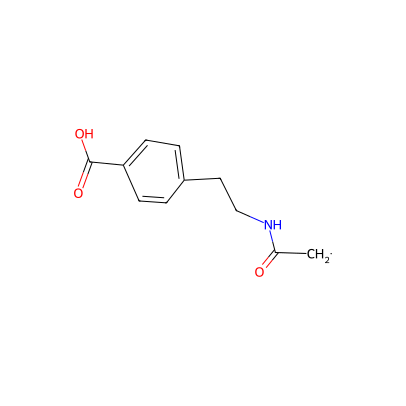 [CH2]C(=O)NCCc1ccc(C(=O)O)cc1